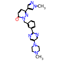 CN1CCN(c2cnc(-c3cccc(Cn4nc(-c5cnn(C)c5)ccc4=O)c3)nc2)CC1